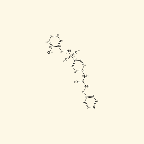 O=C(NCc1ccncc1)Nc1ccc(S(=O)(=O)NCc2ccccc2Cl)cc1